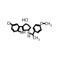 COc1ccc(C(C)N[C@H]2CCCc3c2[nH]c2ccc(Cl)cc32)cc1.Cl